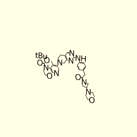 Cc1c(N2CCc3cnc(Nc4ccc(CC(=O)N5CC(N6CCOCC6)C5)cc4)nc3C2)cnc2c1N(C(=O)OC(C)(C)C)CCO2